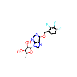 C[C@H]1O[C@@H](n2cnc3c(OCc4ccc(F)c(F)c4F)ncnc32)[C@H](O)[C@@H]1O